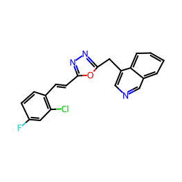 Fc1ccc(/C=C/c2nnc(Cc3cncc4ccccc34)o2)c(Cl)c1